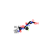 CCCN(CCC)C(=O)c1cc(C)cc(C(=O)N[C@@H](Cc2cc(F)cc(F)c2)[C@H](O)CCNC(=O)CCC2CCN(C(=O)CCO)CC2)c1